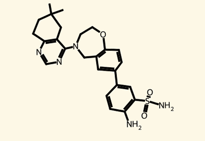 CC1(C)CCc2ncnc(N3CCOc4ccc(-c5ccc(N)c(S(N)(=O)=O)c5)cc4C3)c2C1